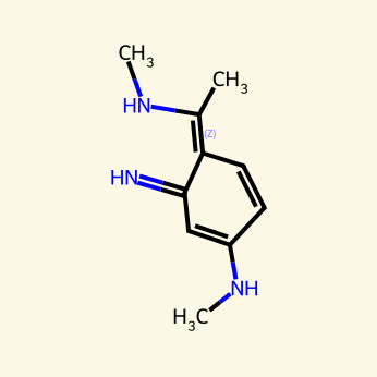 CNC1=CC(=N)/C(=C(/C)NC)C=C1